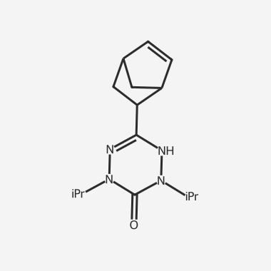 CC(C)N1N=C(C2CC3C=CC2C3)NN(C(C)C)C1=O